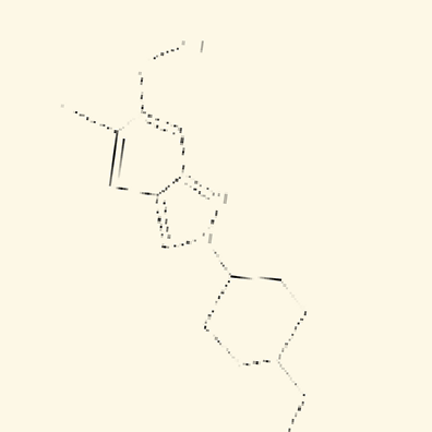 COc1cc2nn(C3CCC(CO)CC3)cc2cc1Br